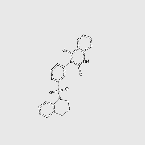 O=c1[nH]c2ccccc2c(=O)n1-c1cccc(S(=O)(=O)N2CCCc3ccccc32)c1